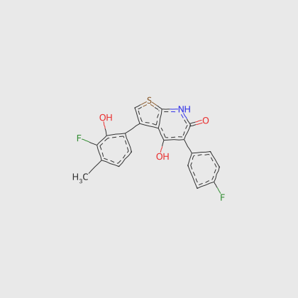 Cc1ccc(-c2csc3[nH]c(=O)c(-c4ccc(F)cc4)c(O)c23)c(O)c1F